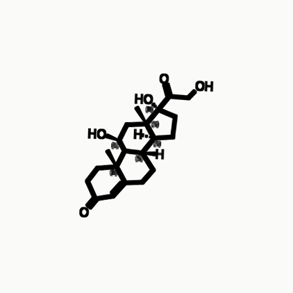 C[C@]12CCC(=O)C=C1CC[C@@H]1C2[C@@H](O)C[C@@]2(C)[C@H]1CC[C@]2(O)C(=O)CO